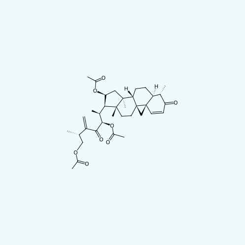 C=C(C(=O)[C@H](OC(C)=O)[C@@H](C)[C@H]1[C@@H](OC(C)=O)C[C@@]2(C)[C@@H]3CC[C@H]4[C@H](C)C(=O)C=C[C@@]45C[C@@]35CC[C@]12C)[C@@H](C)COC(C)=O